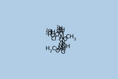 [2H]C([2H])([2H])Oc1cc(OC([2H])([2H])[2H])c(Cl)c(-c2cc3cnc(N[C@@H]4COC[C@@H]4NC(=O)C=C)nc3c(OCC)n2)c1Cl